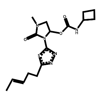 CC=CCCc1nnc(N2C(=O)N(C)CC2OC(=O)NC2CCC2)s1